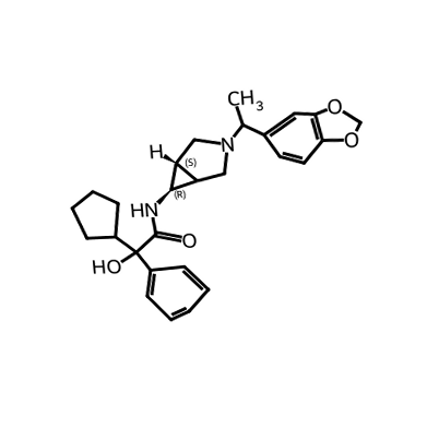 CC(c1ccc2c(c1)OCO2)N1CC2[C@@H](C1)[C@@H]2NC(=O)C(O)(c1ccccc1)C1CCCC1